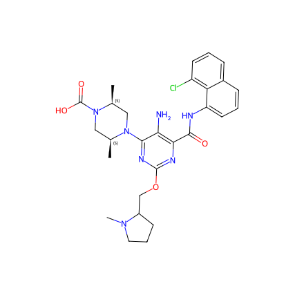 C[C@H]1CN(c2nc(OCC3CCCN3C)nc(C(=O)Nc3cccc4cccc(Cl)c34)c2N)[C@@H](C)CN1C(=O)O